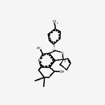 CC(C)c1nc2c(c3c1[C@H](c1ccc(C(F)(F)F)cc1)O[C@]31C=CCC1)C(O)CC(C)(C)C2